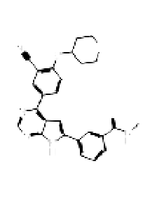 CNC(=O)c1cccc(-c2cc3c(-c4ccc(OC5CCOCC5)c(C#N)c4)ncnc3[nH]2)c1